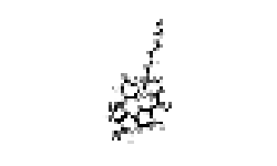 CCOCCCCN1CCN(C(=O)c2cc3c(cc2C)[nH]c(=O)c2cnn(C4CCOCC4)c23)CC1